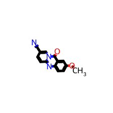 COc1ccc2nc3ccc(C#N)cn3c(=O)c2c1